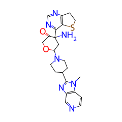 Cn1c(C2CCN(C3CC(N)(c4ncnc5c4SCC5)C(=O)CO3)CC2)nc2cnccc21